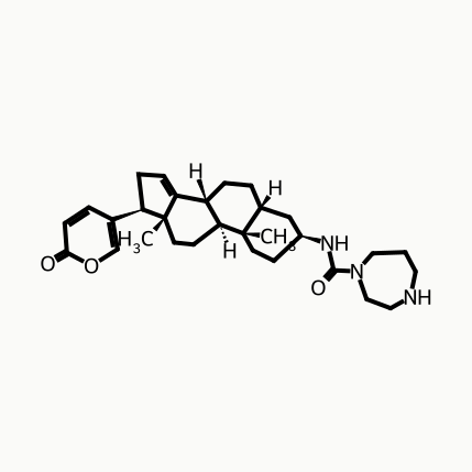 C[C@]12CC[C@H](NC(=O)N3CCCNCC3)C[C@H]1CC[C@H]1C3=CC[C@H](c4ccc(=O)oc4)[C@@]3(C)CC[C@@H]12